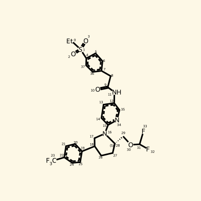 CCS(=O)(=O)c1ccc(CC(=O)Nc2ccc(N3CC(c4ccc(C(F)(F)F)cc4)CC[C@H]3COC(F)F)nc2)cc1